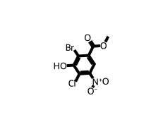 COC(=O)c1cc([N+](=O)[O-])c(Cl)c(O)c1Br